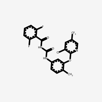 Cc1ccc(NC(=O)NC(=O)c2c(F)cccc2F)cc1Oc1ncc(C(F)(F)F)cc1Cl